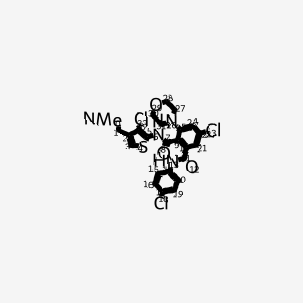 CNCc1csc(NC(=O)c2c(C(=O)Nc3ccc(Cl)cc3)cc(Cl)cc2N2CCOCC2)c1Cl